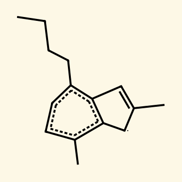 CCCCc1ccc(C)c2c1C=C(C)[CH]2